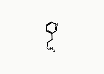 [SiH3]CCc1cccnc1